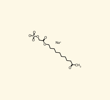 CC(=O)CCCCCCCCCOC(=O)COS(=O)(=O)[O-].[Na+]